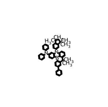 CC1(C)CC(C)(C)c2cc(N3c4cc(N(c5ccccc5)c5ccccc5)ccc4B4c5ccc(-c6ccccc6)cc5C(C)(C)c5cccc3c54)ccc21